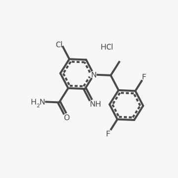 CC(c1cc(F)ccc1F)n1cc(Cl)cc(C(N)=O)c1=N.Cl